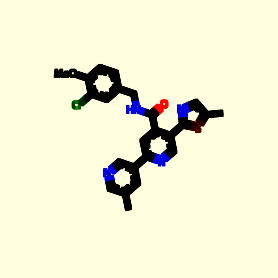 COc1ccc(CNC(=O)c2cc(-c3cncc(C)c3)ncc2-c2ncc(C)s2)cc1Cl